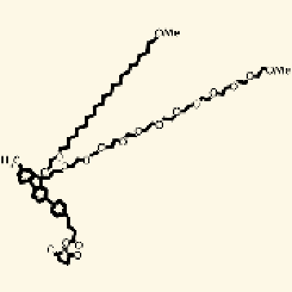 COCCCCCCCCCCCCCCCCCCCCCCOCCCC1(CCCOCCOCCOCCOCCOCCOCCOCCOCCOCCOCCOCCOC)c2cc(C)ccc2-c2ccc(-c3ccc(CCCC(=O)ON4C(=O)CCC4=O)cc3)cc21